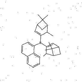 CC1C(B(C2=CC3CC(C2C)C3(C)C)c2cccc3ccccc23)=CC2CC1C2(C)C